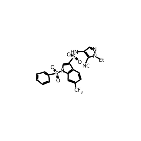 CCn1ncc(NS(=O)(=O)c2cn(S(=O)(=O)c3ccccc3)c3cc(C(F)(F)F)ccc23)c1C#N